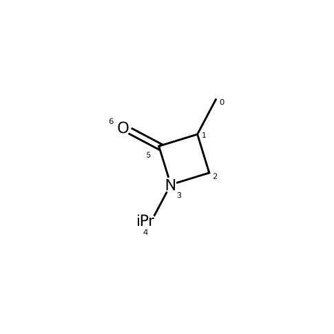 CC1CN(C(C)C)C1=O